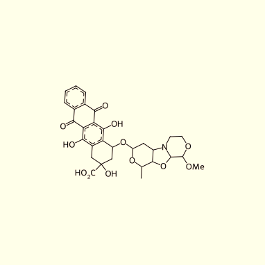 COC1OCCN2C3CC(OC4CC(O)(C(=O)O)Cc5c(O)c6c(c(O)c54)C(=O)c4ccccc4C6=O)OC(C)C3OC12